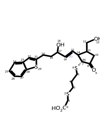 O=C(O)CSCCCS[C@H]1C(=O)CC(CO)C1/C=C/C(O)CCc1cc2ccccc2s1